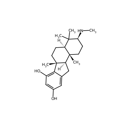 CN[C@H]1CC[C@]2(C)[C@H]3Cc4cc(O)cc(O)c4[C@]3(C)CC[C@H]2C1(C)C